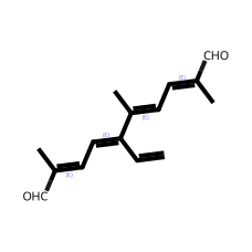 C=CC(=C\C=C(/C)C=O)/C(C)=C/C=C(\C)C=O